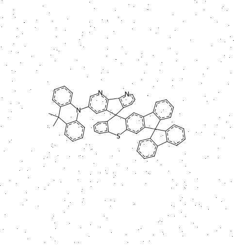 CC1(C)c2ccccc2N(c2cnc3c(c2)C2(c4ccccc4Sc4cc5c(cc42)-c2ccccc2C52c4ccccc4-c4ccccc42)c2cccnc2-3)c2ccccc21